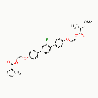 C=C(COC)C(=O)O/C=C\Oc1ccc(-c2ccc(-c3ccc(O/C=C\OC(=O)C(=C)COC)cc3)c(F)c2)cc1